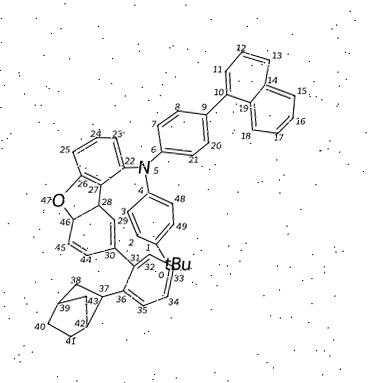 CC(C)(C)c1ccc(N(c2ccc(-c3cccc4ccccc34)cc2)c2cccc3c2C2C=C(c4ccccc4C4CC5CCC4C5)C=CC2O3)cc1